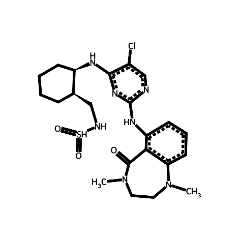 CN1CCN(C)c2cccc(Nc3ncc(Cl)c(N[C@@H]4CCCC[C@@H]4CN[SH](=O)=O)n3)c2C1=O